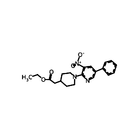 CCOC(=O)CC1CCN(c2ncc(-c3ccccc3)cc2[N+](=O)[O-])CC1